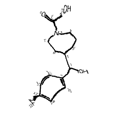 O=C(O)N1CCC(C(O)c2ccc(F)cc2)CC1